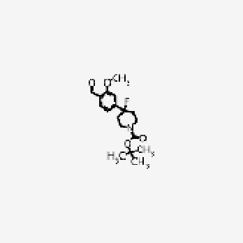 COc1cc(C2(F)CCN(C(=O)OC(C)(C)C)CC2)ccc1C=O